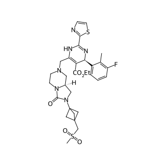 CCOC(=O)C1=C(CN2CCN3C(=O)N(C45CC(CS(C)(=O)=O)(C4)C5)C[C@@H]3C2)NC(c2nccs2)=N[C@H]1c1cccc(F)c1C